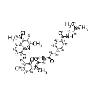 Cc1cc(N(C)C)c2cccc(OCc3c(Cl)ccc(N(C)C(=O)CNC(=O)C=Cc4ccc(C(=O)NCCN(C)C)cc4)c3Cl)c2n1